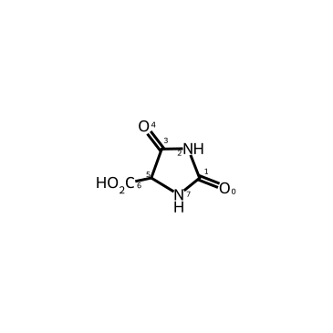 O=C1NC(=O)C(C(=O)O)N1